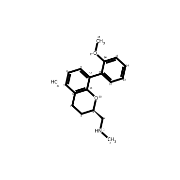 CNC[C@H]1CCc2cccc(-c3ccccc3OC)c2O1.Cl